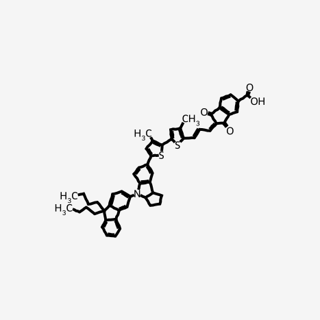 CCCCC1(CCCC)c2ccccc2-c2cc(N3c4ccc(-c5cc(C)c(-c6cc(C)c(/C=C/C=C7\C(=O)c8ccc(C(=O)O)cc8C7=O)s6)s5)cc4C4CCCC43)ccc21